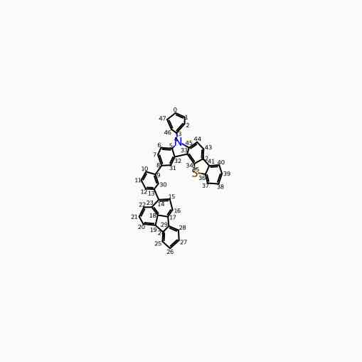 c1ccc(-n2c3ccc(-c4cccc(-c5ccc6c7c(cccc57)-c5ccccc5-6)c4)cc3c3c4sc5ccccc5c4ccc32)cc1